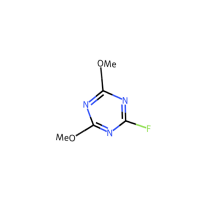 COc1nc(F)nc(OC)n1